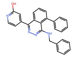 Oc1cc(-c2nnc(NCc3ccccc3)c3c(-c4ccccc4)cccc23)ccn1